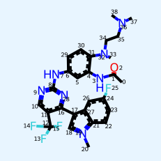 CC(=O)Nc1cc(Nc2ncc(C(F)(F)F)c(-c3cn(C)c4ccc(F)cc34)n2)ccc1N(C)CCN(C)C